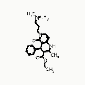 CCOC(=O)C1=C(C)Nc2ccn(CCCN(C)C)c(=O)c2C1c1ccccc1